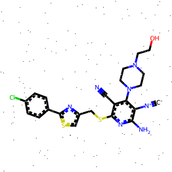 [C-]#[N+]c1c(N)nc(SCc2csc(-c3ccc(Cl)cc3)n2)c(C#N)c1N1CCN(CCO)CC1